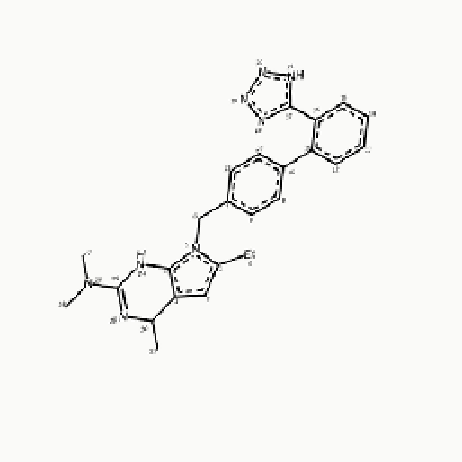 CCc1cc2c(n1Cc1ccc(-c3ccccc3-c3nnn[nH]3)cc1)NC(N(C)C)=NC2C